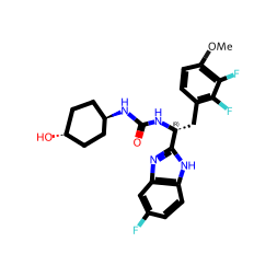 COc1ccc(C[C@@H](NC(=O)N[C@H]2CC[C@H](O)CC2)c2nc3cc(F)ccc3[nH]2)c(F)c1F